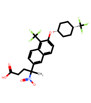 CC(CCC(=O)O)(c1ccc2c(C(F)(F)F)c(O[C@H]3CC[C@@H](C(F)(F)F)CC3)ccc2c1)[N+](=O)[O-]